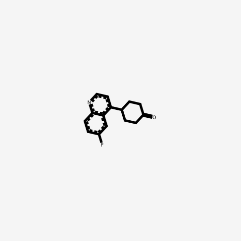 O=C1CCC(c2ccnc3ccc(F)cc23)CC1